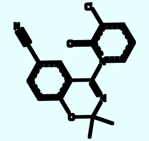 CC1(C)N=C(n2cccc(Cl)c2=O)c2cc(C#N)ccc2O1